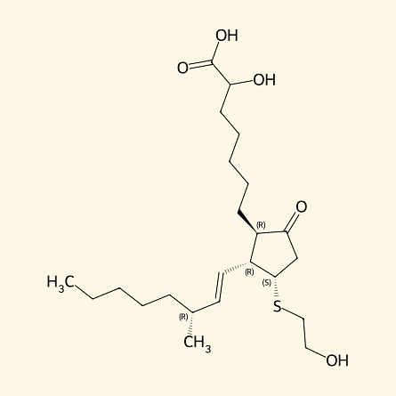 CCCCC[C@@H](C)C=C[C@H]1[C@@H](SCCO)CC(=O)[C@@H]1CCCCCC(O)C(=O)O